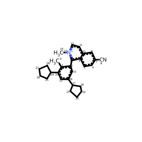 Cc1c(-c2c3ccc(C#N)cc3cc[n+]2C)cc(C2CCCC2)cc1C1CCCC1